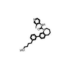 O=C(Nc1ccncc1F)N1CCCCc2ccc(-c3cccc(CCCCO)c3)cc21